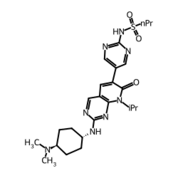 CCCS(=O)(=O)Nc1ncc(-c2cc3cnc(N[C@H]4CC[C@H](N(C)C)CC4)nc3n(C(C)C)c2=O)cn1